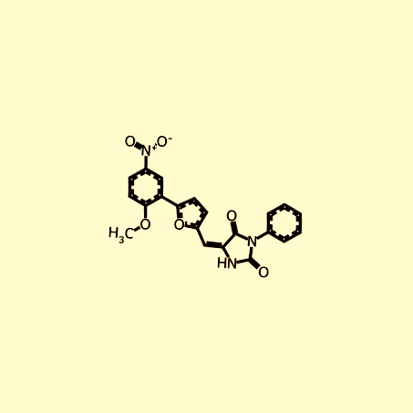 COc1ccc([N+](=O)[O-])cc1-c1ccc(/C=C2/NC(=O)N(c3ccccc3)C2=O)o1